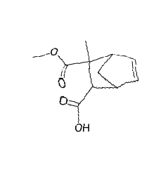 COC(=O)C1(C)C2C=CC(C2)C1C(=O)O